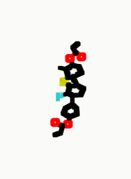 C=CC(=O)Oc1ccc(-c2ccc3c(sc4c(C)c(OC(=O)C=C)ccc43)c2F)cc1